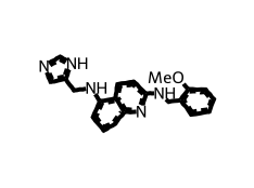 COc1ccccc1CNc1ccc2c(NCc3cnc[nH]3)cccc2n1